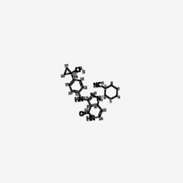 N#CC1CCCC[C@@H]1n1nc(Nc2ccc(C3(C(F)(F)F)CC3)cc2)c2c(=O)[nH]ccc21